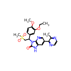 CCOc1cc(C(CS(C)(=O)=O)n2c(=O)[nH]c3cc(-c4nccnc4C)cnc32)ccc1OC